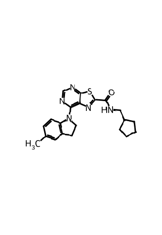 Cc1ccc2c(c1)CCN2c1ncnc2sc(C(=O)NCC3CCCC3)nc12